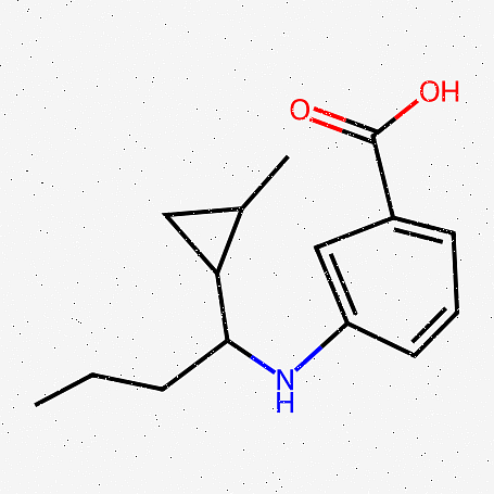 CCCC(Nc1cccc(C(=O)O)c1)C1CC1C